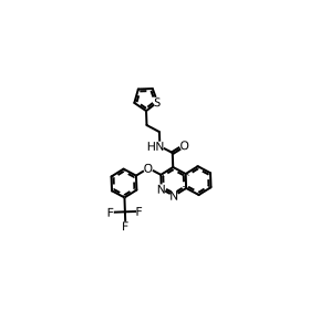 O=C(NCCc1cccs1)c1c(Oc2cccc(C(F)(F)F)c2)nnc2ccccc12